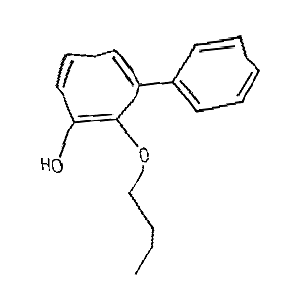 CCCOc1c(O)cccc1-c1ccccc1